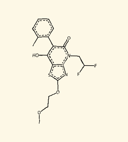 COCCOc1nc2c(s1)c(O)c(-c1ccccc1C)c(=O)n2CC(F)F